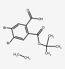 CC.CC(C)(C)OC(=O)c1cc(Br)c(Br)cc1C(=O)O